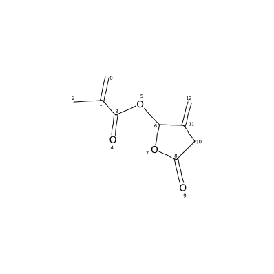 C=C(C)C(=O)OC1OC(=O)CC1=C